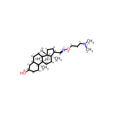 CN(C)CCCO/N=C/C1CC[C@H]2[C@@H]3CCC4CC(O)CC[C@]4(C)[C@@H]3CC[C@]12C